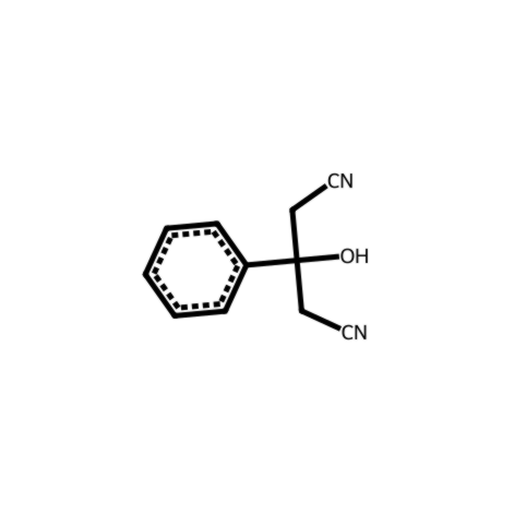 N#CCC(O)(CC#N)c1ccccc1